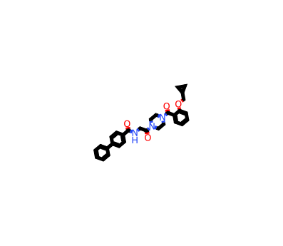 O=C(NCC(=O)N1CCN(C(=O)c2ccccc2OCC2CC2)CC1)c1ccc(-c2ccccc2)cc1